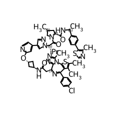 Cc1ncsc1-c1ccc([C@H](C)NC(=O)[C@@H]2C[C@@H](C)CN2C(=O)[C@H](C(C)C)n2cc(-c3ccnc(O[C@H]4C[C@H](NC(=O)C[C@@H]5N=C(c6ccc(Cl)cc6)c6c(sc(C)c6C)-n6c(C)nnc65)C4)c3)cn2)cc1